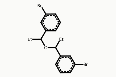 CCC(OC(CC)c1cccc(Br)c1)c1cccc(Br)c1